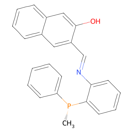 C[P@](c1ccccc1)c1ccccc1/N=C/c1cc2ccccc2cc1O